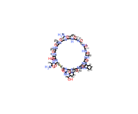 C=C(O)c1ccc(C[C@@H]2NC(=O)[C@H](CC(N)=O)NC(=O)CSCC(C(=O)NC(C)C(N)=O)NC(=O)C([C@@H](C)O)NC(=O)[C@H](C(C)C)NC(=O)[C@H](CC(C)C)NC(=O)[C@H](CCN)NC(=O)C(CC(C)C)NC(=O)C(C)N(C)C(=O)CNC(=O)[C@H](C)NC(=O)C(C(C)C)NC(=O)[C@H](Cc3c[nH]c4ccccc34)NC(=O)[C@H](CC(=O)O)NC2=O)cc1